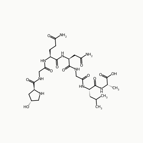 CC(C)C[C@H](NC(=O)CNC(=O)[C@H](CC(N)=O)NC(=O)[C@H](CCC(N)=O)NC(=O)CNC(=O)[C@@H]1C[C@@H](O)CN1)C(=O)N[C@@H](C)C(=O)O